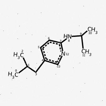 CC(C)Cc1ccc(NC(C)C)nc1